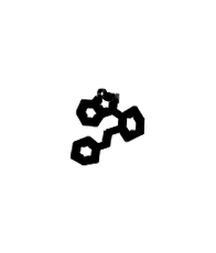 C(=Cc1ccccc1-c1noc2ccccc12)c1ccccc1